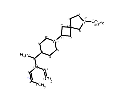 C=NN(/C=C\C)C(C)C1CCN(C2CC3(CCN(C(=O)OCC)C3)C2)CC1